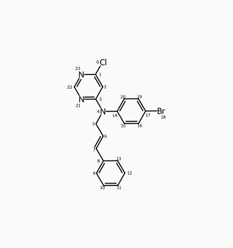 Clc1cc(N(CC=Cc2ccccc2)c2ccc(Br)cc2)ncn1